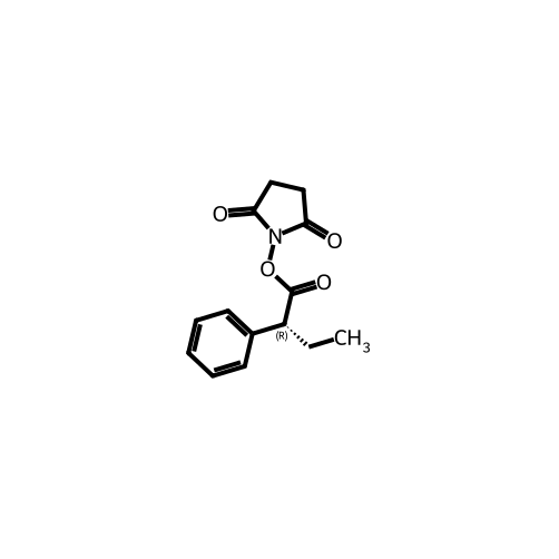 CC[C@@H](C(=O)ON1C(=O)CCC1=O)c1ccccc1